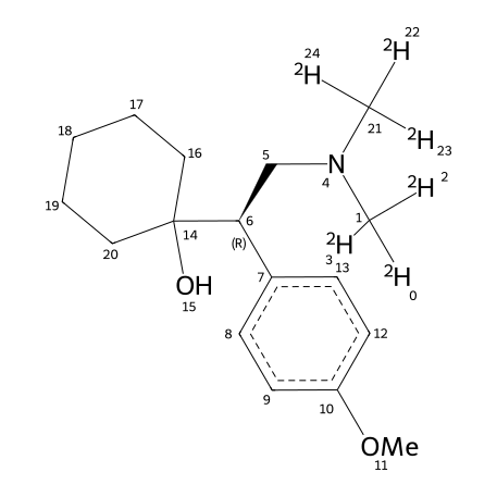 [2H]C([2H])([2H])N(C[C@@H](c1ccc(OC)cc1)C1(O)CCCCC1)C([2H])([2H])[2H]